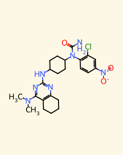 CN(C)c1nc(NC2CCC(N(C(N)=O)c3ccc([N+](=O)[O-])cc3Cl)CC2)nc2c1CCCC2